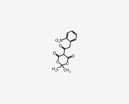 CC1(C)OC(=O)C(C(=O)Cc2ccccc2[N+](=O)[O-])C(=O)O1